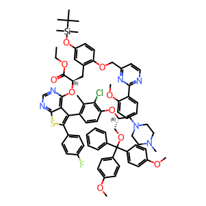 CCOC(=O)[C@@H](Cc1cc(O[Si](C)(C)C(C)(C)C)ccc1OCc1ccnc(-c2ccccc2OC)n1)Oc1ncnc2sc(-c3ccc(F)cc3)c(-c3ccc(O[C@@H](COC(c4ccccc4)(c4ccc(OC)cc4)c4ccc(OC)cc4)CN4CCN(C)CC4)c(Cl)c3C)c12